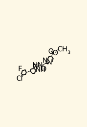 CCOC(=O)c1ccn2cc(C(=O)Nc3nc4cc(-c5cc(F)cc(Cl)c5)ccc4[nH]3)nc2c1